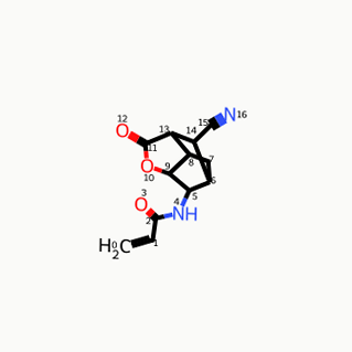 C=CC(=O)NC1C2CC3C1OC(=O)C3C2C#N